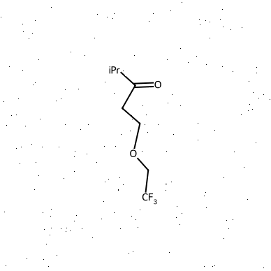 CC(C)C(=O)CCOCC(F)(F)F